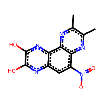 Cc1nc2c([N+](=O)[O-])cc3nc(O)c(O)nc3c2nc1C